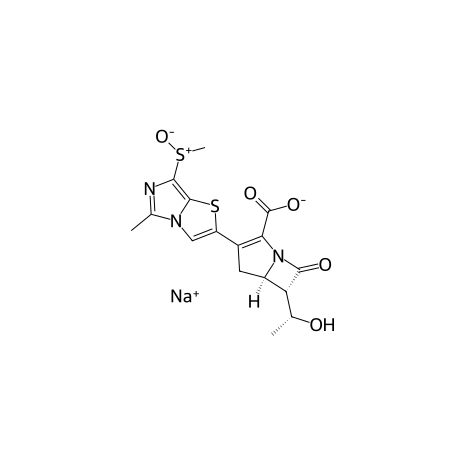 Cc1nc([S+](C)[O-])c2sc(C3=C(C(=O)[O-])N4C(=O)[C@H]([C@@H](C)O)[C@H]4C3)cn12.[Na+]